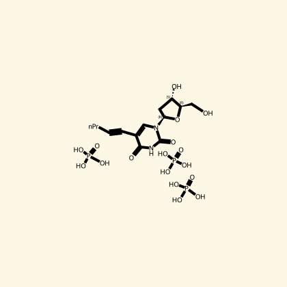 CCCC#Cc1cn([C@H]2C[C@H](O)[C@@H](CO)O2)c(=O)[nH]c1=O.O=P(O)(O)O.O=P(O)(O)O.O=P(O)(O)O